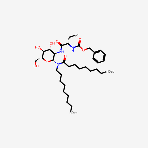 CCCCCCCCCCCCCCCCCCN(C(=O)CCCCCCCCCCCCCCCCC)[C@@H]1O[C@H](CO)[C@@H](O)[C@H](O)[C@H]1NC(=O)[C@H](CC(C)C)NC(=O)OCc1ccccc1